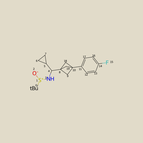 CC(C)(C)[S+]([O-])NC(C1CC1)C12CC(c3ccc(F)cc3)(C1)C2